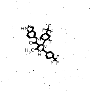 CC1=C(C(=O)Nc2ccc3[nH]ncc3c2)C(c2ccc(C(F)(F)F)cc2F)N=C(c2ccc(C(F)(F)F)cc2)N1